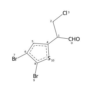 O=CC(CCl)c1cc(Br)c(Br)s1